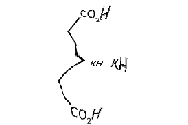 O=C(O)CCCC(=O)O.[KH].[KH]